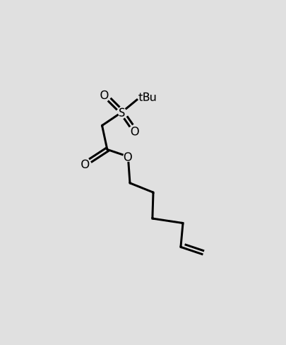 C=CCCCCOC(=O)CS(=O)(=O)C(C)(C)C